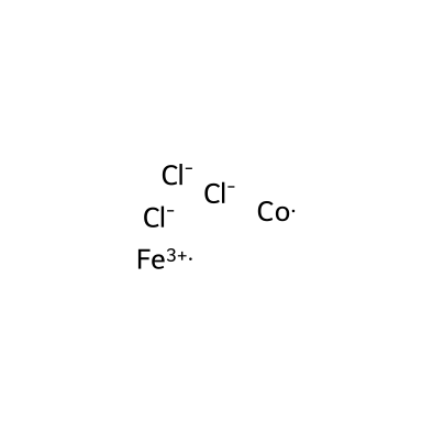 [Cl-].[Cl-].[Cl-].[Co].[Fe+3]